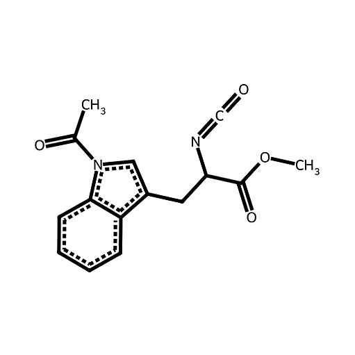 COC(=O)C(Cc1cn(C(C)=O)c2ccccc12)N=C=O